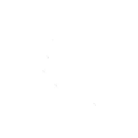 Cc1csc(Nc2ncc(CCCN(C)C)cc2OCc2ccccc2)n1